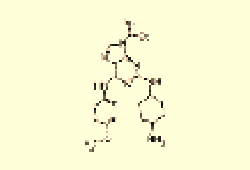 CCC(CC)n1cnc2c(Nc3ccc(OC(F)(F)F)cc3)nc(NC3CCC(N)CC3)nc21